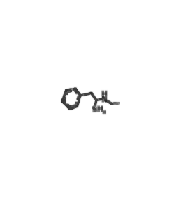 CCNC([SiH3])Cc1ccccc1